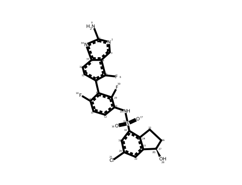 Nc1ncc2c(F)c(-c3c(F)ccc(NS(=O)(=O)c4cc(Cl)cc5c4CC[C@H]5O)c3F)ccc2n1